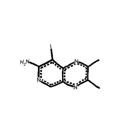 Cc1nc2cnc(N)c(I)c2nc1C